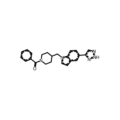 O=C(c1ccccc1)N1CCC(Cn2ccc3cc(-c4cn[nH]n4)ccc32)CC1